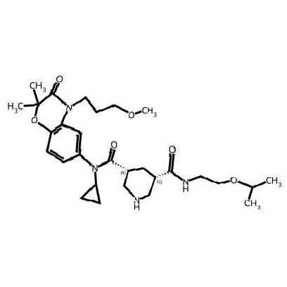 COCCCN1C(=O)C(C)(C)Oc2ccc(N(C(=O)[C@H]3CNC[C@@H](C(=O)NCCOC(C)C)C3)C3CC3)cc21